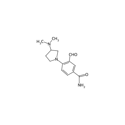 CN(C)C1CCN(c2ccc(C(N)=O)cc2C=O)C1